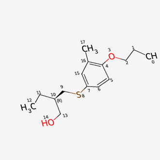 CCCOc1ccc(SC[C@H](CC)CO)cc1C